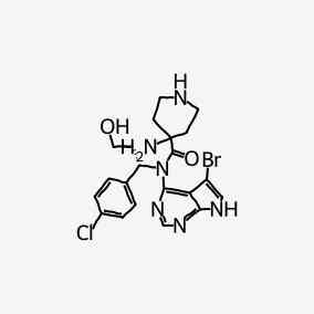 NC1(C(=O)N(c2ncnc3[nH]cc(Br)c23)[C@@H](CCO)c2ccc(Cl)cc2)CCNCC1